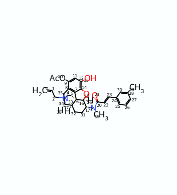 C=CCN1CC[C@]23c4c5c(OC(C)=O)cc(O)c4O[C@H]2[C@@H](N(C)C(=O)C=Cc2cccc(C)c2)CC[C@H]3[C@H]1C5